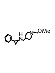 COCCN1CCC(CNC2CC2c2ccccc2)CC1